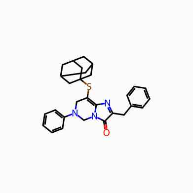 O=C1C(Cc2ccccc2)=NC2=C(SC34CC5CC(CC(C5)C3)C4)CN(c3ccccc3)CN12